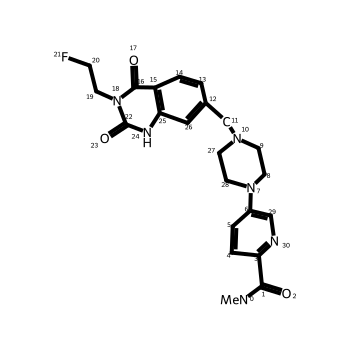 CNC(=O)c1ccc(N2CCN(Cc3ccc4c(=O)n(CCF)c(=O)[nH]c4c3)CC2)cn1